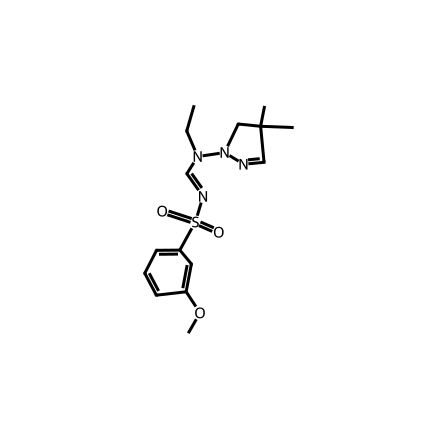 CCN(C=NS(=O)(=O)c1cccc(OC)c1)N1CC(C)(C)C=N1